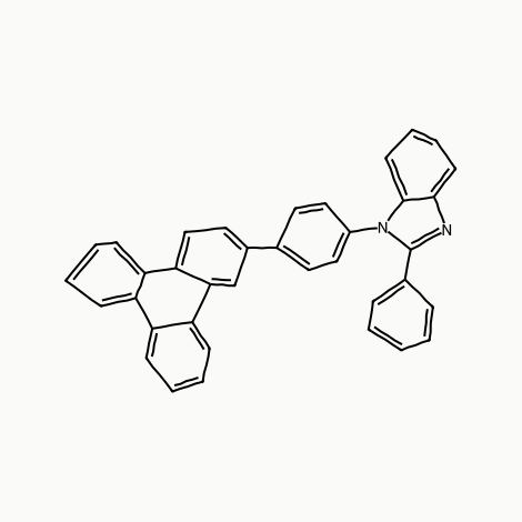 c1ccc(-c2nc3ccccc3n2-c2ccc(-c3ccc4c5ccccc5c5ccccc5c4c3)cc2)cc1